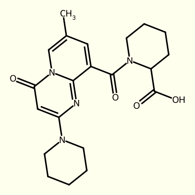 Cc1cc(C(=O)N2CCCCC2C(=O)O)c2nc(N3CCCCC3)cc(=O)n2c1